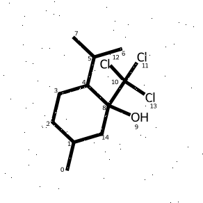 CC1CCC(C(C)C)C(O)(C(Cl)(Cl)Cl)C1